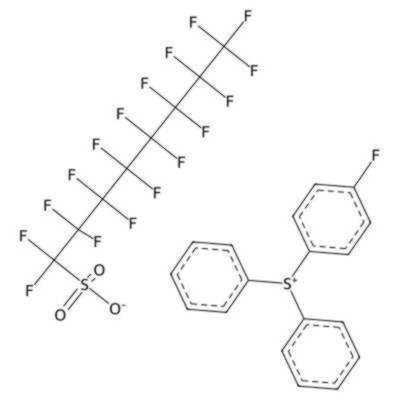 Fc1ccc([S+](c2ccccc2)c2ccccc2)cc1.O=S(=O)([O-])C(F)(F)C(F)(F)C(F)(F)C(F)(F)C(F)(F)C(F)(F)C(F)(F)C(F)(F)F